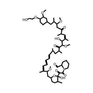 COC(CC1CCC(C)C(O)(C(=O)C(=O)N2CCCCC2C=O)O1)\C(C)=C/C=C/C=C/C(C)CC(C)C(=O)C(OC)C(O)/C(C)=C\C(C)C(=O)CC(OC)C(C)CC1CCC(OCCO)C(OC)C1